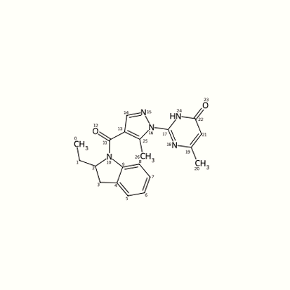 CCC1Cc2ccccc2N1C(=O)c1cnn(-c2nc(C)cc(=O)[nH]2)c1C